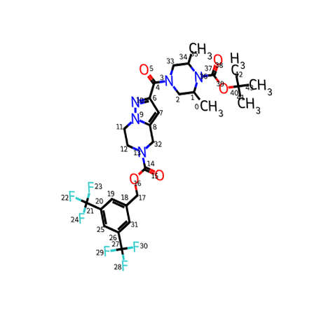 CC1CN(C(=O)c2cc3n(n2)CCN(C(=O)OCc2cc(C(F)(F)F)cc(C(F)(F)F)c2)C3)CC(C)N1C(=O)OC(C)(C)C